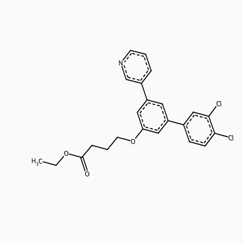 CCOC(=O)CCCOc1cc(-c2cccnc2)cc(-c2ccc(Cl)c(Cl)c2)c1